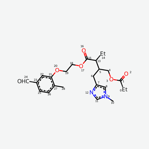 CCC(=O)OCC(Cc1cn(C)cn1)C(CC)C(=O)OCCOc1cc(C=O)ccc1C